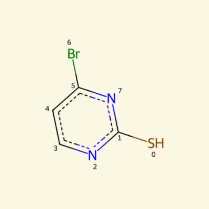 Sc1nccc(Br)n1